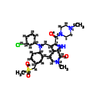 CN1CCN(C(=O)c2[nH]c3c(=O)n(C)cc4c3c2CN(c2cccc(Cl)c2)c2ccc(CS(C)(=O)=O)cc2-4)CC1